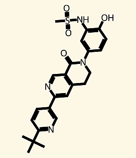 CC(C)(C)c1ccc(-c2cc3c(cn2)C(=O)N(c2ccc(O)c(NS(C)(=O)=O)c2)CC3)cn1